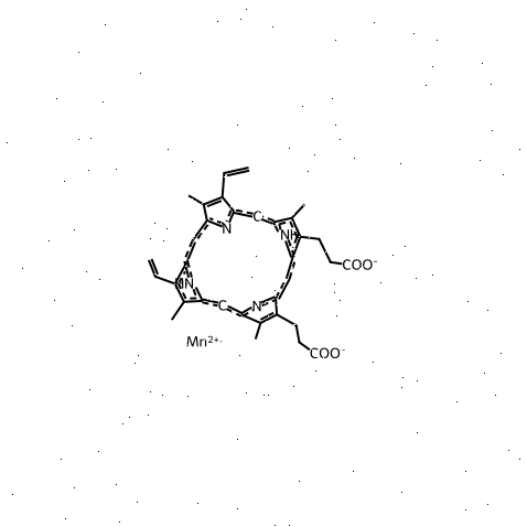 C=CC1=C(C)c2cc3[nH]c(cc4nc(cc5[nH]c(cc1n2)c(C)c5CCC(=O)[O-])C(CCC(=O)[O-])=C4C)c(C)c3C=C.[Mn+2]